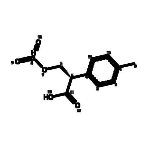 Cc1ccc([C@@H](CO[SH](=O)=O)C(=O)O)cc1